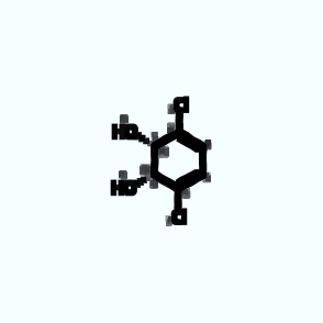 O[C@@H]1C(Cl)=CC=C(Cl)[C@@H]1O